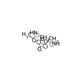 CCC(Oc1cc(OC)c2c(c1)C(=O)c1cccc(OC(CC)C3CCCNC3)c1-2)C1CCCNC1